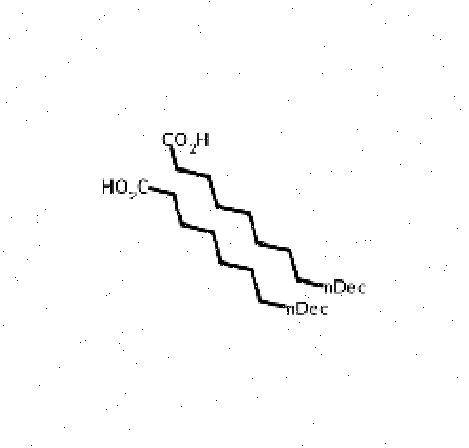 CCCCCCCCCCCCCCCCC(=O)O.CCCCCCCCCCCCCCCCCC(=O)O